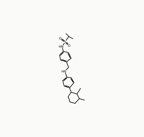 CC1CCCC(c2ccc(NCc3ccc(NS(=O)(=O)C(C)C)cc3)cc2)C1C